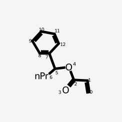 C=CC(=O)OC(CCC)c1ccccc1